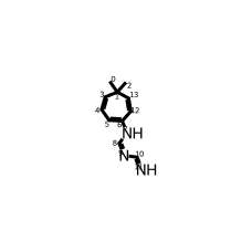 CC1(C)C=CC=C(N/C=N\C=N)C=C1